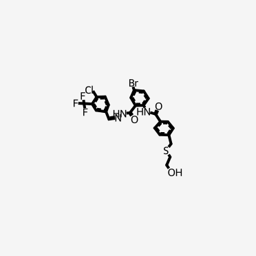 O=C(Nc1ccc(Br)cc1C(=O)N/N=C\c1ccc(Cl)c(C(F)(F)F)c1)c1ccc(CSCCO)cc1